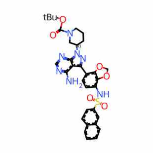 CC(C)(C)OC(=O)N1CCC[C@@H](n2nc(-c3ccc(NS(=O)(=O)c4ccc5ccccc5c4)c4c3OCO4)c3c(N)ncnc32)C1